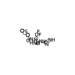 N=C(CNC(=O)c1ccc2c(c1)Cc1ccccc1S2)N1C[C@H](OC(F)F)CC1C(=O)NCc1cnc2c(c1)CNC2